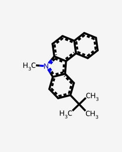 Cn1c2ccc(C(C)(C)C)cc2c2c3ccccc3ccc21